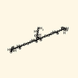 NCCNCCNC(=O)c1cc(C(=O)NCCCOCCOCCOCCCNC(=O)CCCCC2SCC3NC(=O)NC32)cc(C(=O)NCCCOCCOCCOCCCNC(=O)CCCCC2SCC3NC(=O)NC32)c1